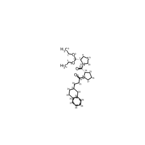 CCOC(OCC)[C@@H]1CSCN1C(=O)[C@@H]1CCCN1C(=O)CC[C@@H]1CCc2ccccc2C1